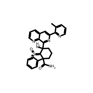 Cc1cccnc1-c1cc2cccnc2c(C2(N)CCCC(C(N)=O)(c3ccccc3)C2=S(=O)=O)n1